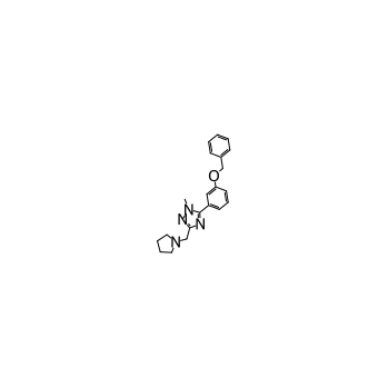 Cn1nc(CN2CCCC2)nc1-c1cccc(OCc2ccccc2)c1